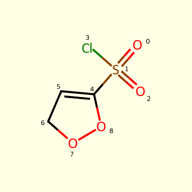 O=S(=O)(Cl)C1=CCOO1